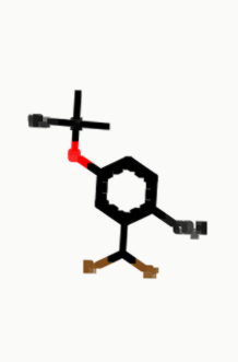 CC(C)(C)[Si](C)(C)Oc1ccc(C(=O)O)c(C(Br)Br)c1